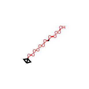 OOOOOCOOOOOOOC12CC1C2